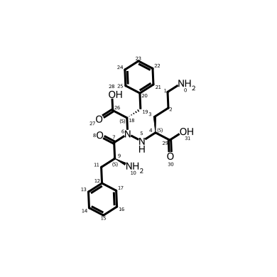 NCCC[C@H](NN(C(=O)[C@@H](N)Cc1ccccc1)[C@@H](Cc1ccccc1)C(=O)O)C(=O)O